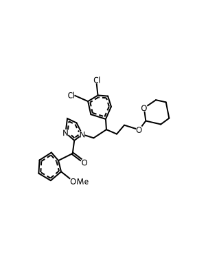 COc1ccccc1C(=O)c1nccn1CC(CCOC1CCCCO1)c1ccc(Cl)c(Cl)c1